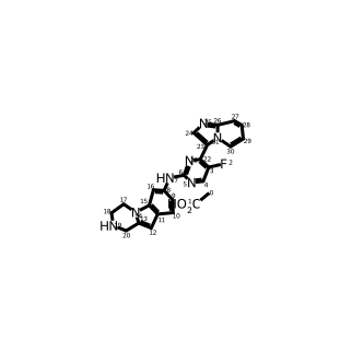 CC(=O)O.Fc1cnc(Nc2ccc3cc4n(c3c2)CCNC4)nc1-c1cnc2ccccn12